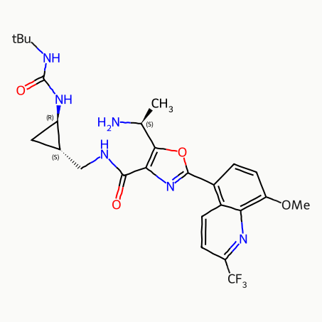 COc1ccc(-c2nc(C(=O)NC[C@@H]3C[C@H]3NC(=O)NC(C)(C)C)c([C@H](C)N)o2)c2ccc(C(F)(F)F)nc12